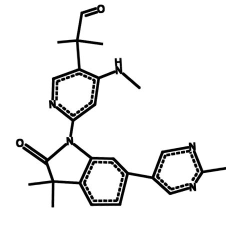 CNc1cc(N2C(=O)C(C)(C)c3ccc(-c4cnc(C)nc4)cc32)ncc1C(C)(C)C=O